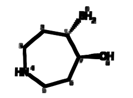 B[C@H]1CCNCC[C@@H]1O